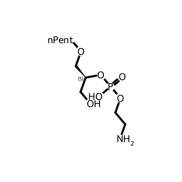 CCCCCOC[C@H](CO)OP(=O)(O)OCCN